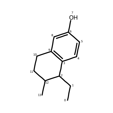 CCC1c2ccc(O)cc2CCC1C